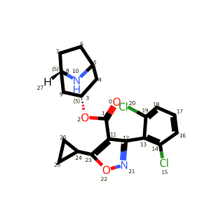 O=C(O[C@H]1CC2CC[C@@H](C1)N2)c1c(-c2c(Cl)cccc2Cl)noc1C1CC1